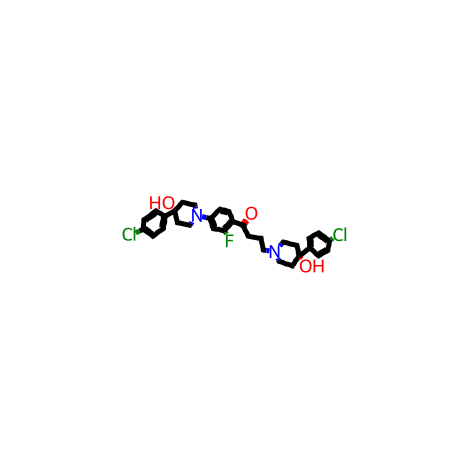 O=C(CCCN1CCC(O)(c2ccc(Cl)cc2)CC1)c1ccc(N2CCC(O)(c3ccc(Cl)cc3)CC2)cc1F